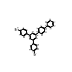 Brc1ccc(-c2cc(-c3ccc(Br)cc3)cc(-c3ccc(-c4ccccc4)cc3)c2)cc1